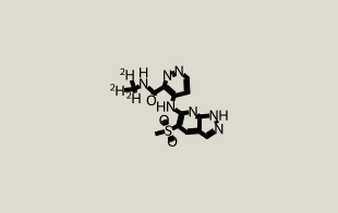 [2H]C([2H])([2H])NC(=O)c1nnccc1Nc1nc2[nH]ncc2cc1S(C)(=O)=O